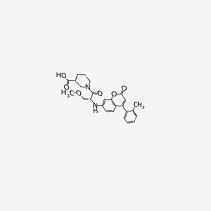 COC[C@H](Nc1ccc2c(-c3ccccc3C)cc(=O)oc2c1)C(=O)N1CCCC(C(=O)O)C1